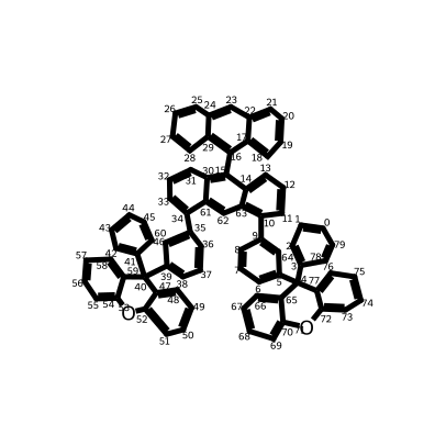 c1ccc(C2(c3cccc(-c4cccc5c(-c6c7ccccc7cc7ccccc67)c6cccc(-c7cccc(C8(c9ccccc9)c9ccccc9Oc9ccccc98)c7)c6cc45)c3)c3ccccc3Oc3ccccc32)cc1